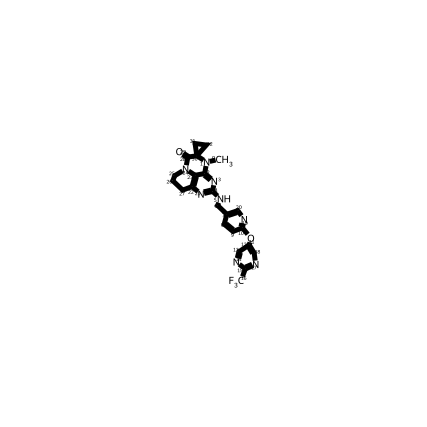 CN1c2nc(NCc3ccc(Oc4cnc(C(F)(F)F)nc4)nc3)nc3c2N(CCC3)C(=O)C12CC2